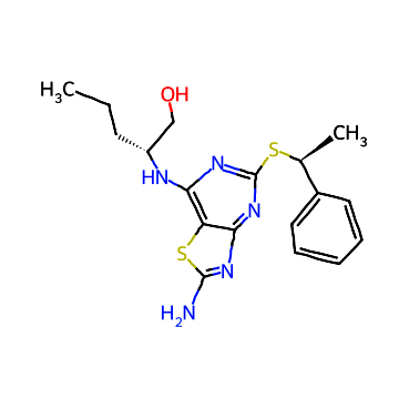 CCC[C@H](CO)Nc1nc(S[C@@H](C)c2ccccc2)nc2nc(N)sc12